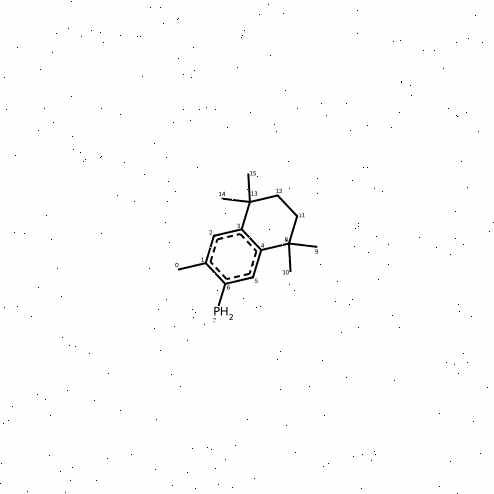 Cc1cc2c(cc1P)C(C)(C)CCC2(C)C